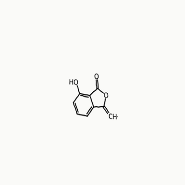 [CH]=C1OC(=O)c2c(O)cccc21